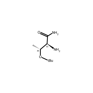 C[C@@H](OC(C)(C)C)[C@H](N)C(N)=O